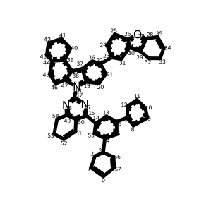 C1=CCC(c2cc(-c3ccccc3)cc(-c3nc(-n4c5ccc(-c6ccc7oc8c(c7c6)CCC=C8)cc5c5c6ccccc6ccc54)nc4c3C=CCC4)c2)C=C1